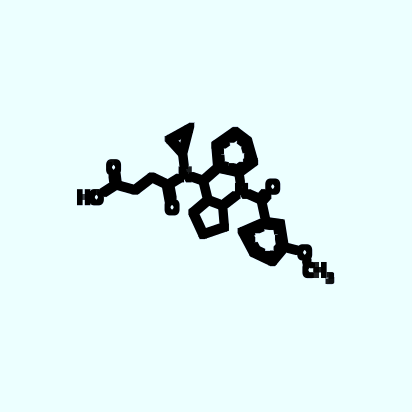 COc1cccc(C(=O)N2c3ccccc3C(N(C(=O)CCC(=O)O)C3CC3)C3CCCC32)c1